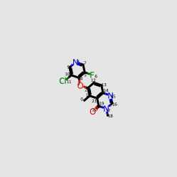 Cc1c(Oc2c(F)cncc2Cl)ccc2ncn(C)c(=O)c12